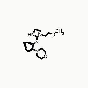 COCCN1CCN/C1=N\c1ccccc1N1CCOCC1